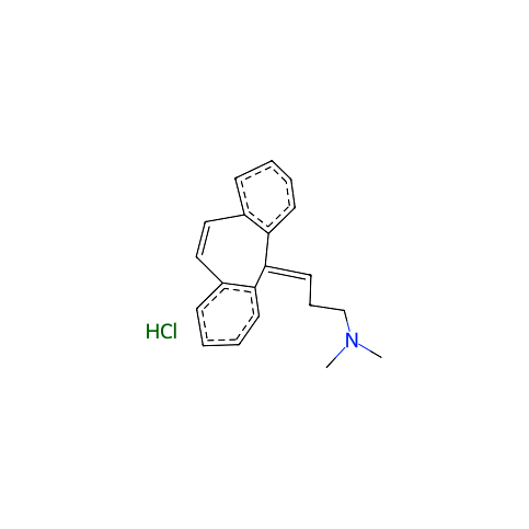 CN(C)CCC=C1c2ccccc2C=Cc2ccccc21.Cl